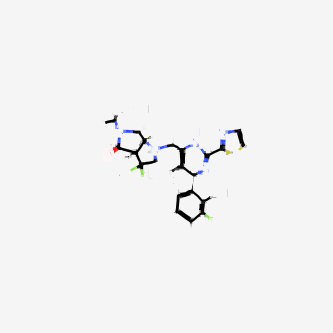 CCOC(=O)C1=C(CN2CC(F)(F)[C@@H]3C(=O)N(C(C)C(=O)O)C[C@@H]32)NC(c2nccs2)=N[C@H]1c1cccc(F)c1C